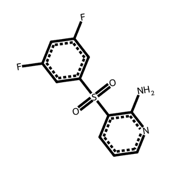 Nc1ncccc1S(=O)(=O)c1cc(F)cc(F)c1